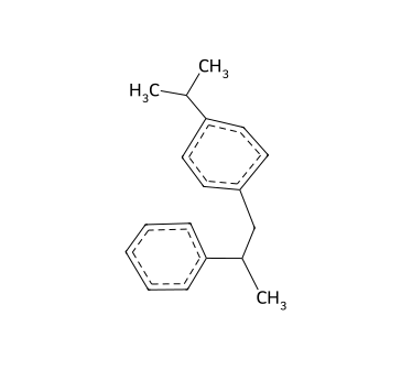 CC(C)c1ccc(CC(C)c2ccccc2)cc1